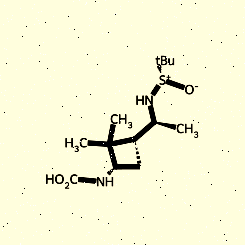 C[C@H](N[S@@+]([O-])C(C)(C)C)[C@@H]1C[C@H](NC(=O)O)C1(C)C